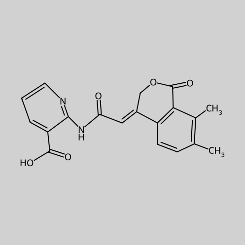 Cc1ccc2c(c1C)C(=O)OC/C2=C\C(=O)Nc1ncccc1C(=O)O